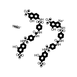 O=C(Nc1ccc(S(=O)(=O)Nc2ccc3cc(S(=O)(=O)[O-])cc(O)c3c2)cc1)Nc1ccc(S(=O)(=O)Nc2ccc3cc(S(=O)(=O)[O-])cc(O)c3c2)cc1.O=C(Nc1ccc(S(=O)(=O)Nc2ccc3cc(S(=O)(=O)[O-])cc(O)c3c2)cc1)Nc1ccc(S(=O)(=O)Nc2ccc3cc(S(=O)(=O)[O-])cc(O)c3c2)cc1.[Na+].[Na+].[Na+].[Na+]